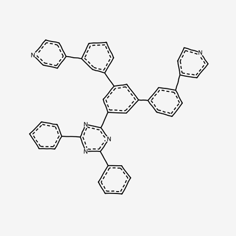 c1ccc(-c2nc(-c3ccccc3)nc(-c3cc(-c4cccc(-c5ccncc5)c4)cc(-c4cccc(-c5ccncc5)c4)c3)n2)cc1